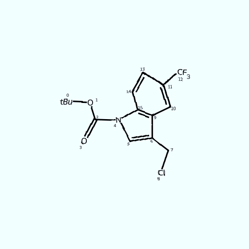 CC(C)(C)OC(=O)n1cc(CCl)c2cc(C(F)(F)F)ccc21